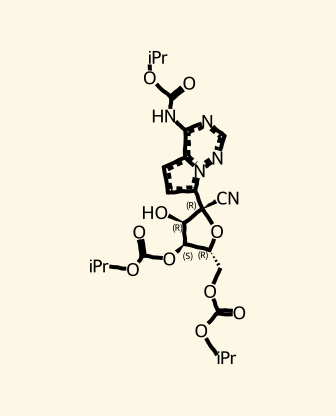 CC(C)OC(=O)Nc1ncnn2c([C@]3(C#N)O[C@H](COC(=O)OC(C)C)[C@@H](OC(=O)OC(C)C)[C@H]3O)ccc12